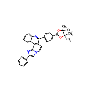 CC1(C)OB(c2ccc(-c3nc4ccccc4c4c3ccn3cc(-c5ccccc5)nc43)cc2)OC1(C)C